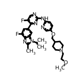 COCCN1CCC(COc2ccc(Nc3ncc(F)c(-c4cc(F)c5nc(C)n(C(C)C)c5c4)n3)nc2)CC1